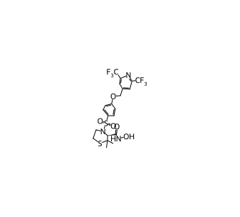 CC1(C)SCCN(S(=O)(=O)c2ccc(OCc3cc(C(F)(F)F)nc(C(F)(F)F)c3)cc2)[C@H]1C(=O)NO